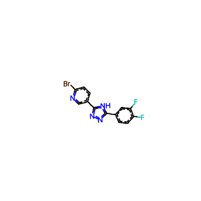 Fc1ccc(-c2nnc(-c3ccc(Br)nc3)[nH]2)cc1F